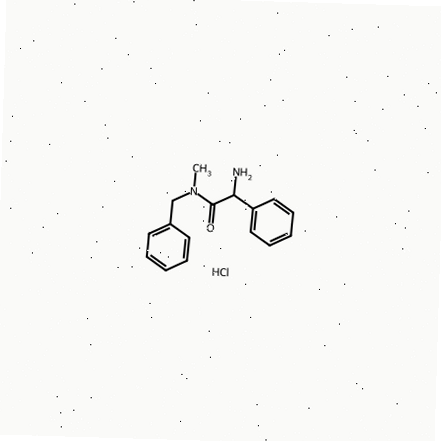 CN(Cc1ccccc1)C(=O)C(N)c1ccccc1.Cl